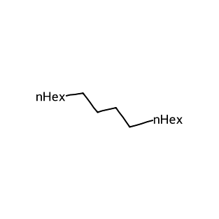 [CH]CCCCCCCCCCCCCC[CH2]